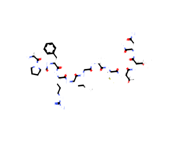 CC[C@H](C)[C@H](NC(=O)CNC(=O)[C@H](CCSC)NC(=O)[C@H](CCCNC(=N)N)NC(=O)[C@H](Cc1ccccc1)NC(=O)[C@@H]1CCCN1C(=O)[C@H](C)N)C(=O)N[C@@H](CS)C(=O)N[C@H](C(=O)N[C@H](C(=O)N[C@@H](CC(N)=O)C(N)=O)[C@@H](C)O)[C@@H](C)O